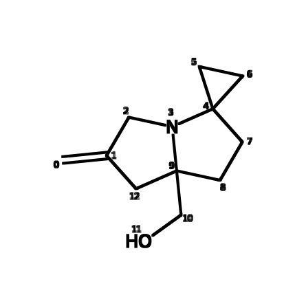 C=C1CN2C3(CC3)CCC2(CO)C1